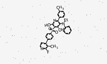 CCN(c1ccccc1)c1c(-c2cccc(C)c2)nc(O)c(S(=O)(=O)c2ccc(-c3ccnc(F)c3C)cc2)c1O